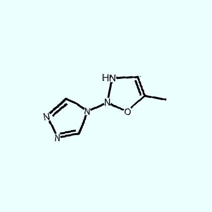 CC1=[C]NN(n2cnnc2)O1